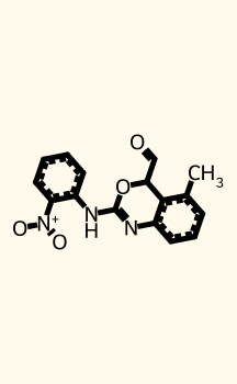 Cc1cccc2c1C(C=O)OC(Nc1ccccc1[N+](=O)[O-])=N2